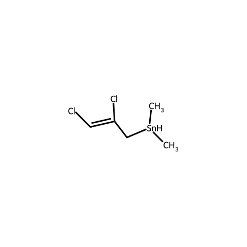 [CH3][SnH]([CH3])[CH2]C(Cl)=CCl